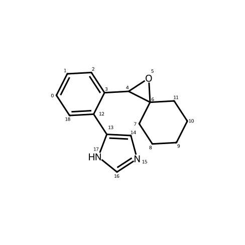 c1ccc(C2OC23CCCCC3)c(-c2cnc[nH]2)c1